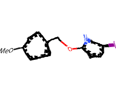 COc1ccc(COc2ccc(I)cn2)cc1